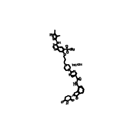 Cc1[nH]nc(Nc2ncnc3cc(OCCCN4CCN(c5ncc(C(=O)Nc6cccc7c6CN([C@H]6CCC(=O)NC6=O)C7=O)cn5)CC4)c(S(=O)(=O)C(C)(C)C)cc23)c1C.Cl.Cl